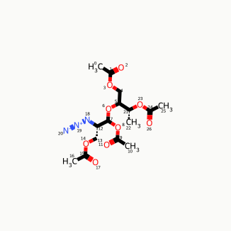 CC(=O)OCC(OC(OC(C)=O)[C@H](COC(C)=O)N=[N+]=[N-])[C@@H](C)OC(C)=O